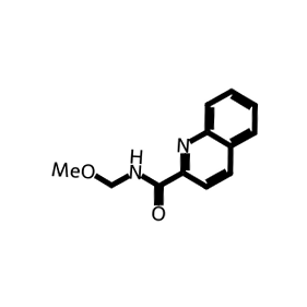 COCNC(=O)c1ccc2ccccc2n1